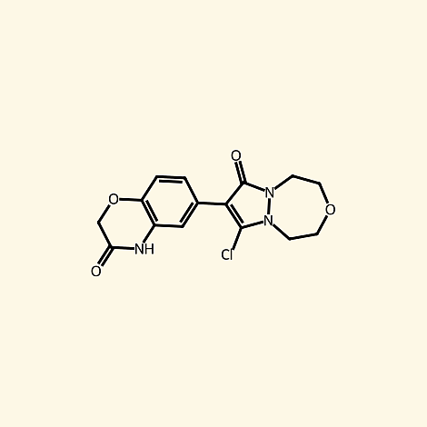 O=C1COc2ccc(-c3c(Cl)n4n(c3=O)CCOCC4)cc2N1